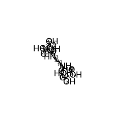 O=C(O)CC(O)(CC(=O)NCCCCNC(=O)CC(O)(CC(=O)O)C(=O)O)C(=O)O